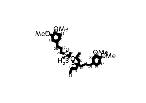 BC(C)(OSC(C=CC)(C=CC)CCCc1ccc(OC)c(OC)c1)S(C)(C)CCCc1ccc(OC)c(OC)c1